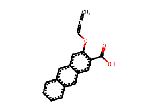 C=C=COc1cc2cc3ccccc3cc2cc1C(=O)O